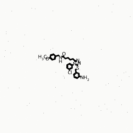 COc1ccc(CNC(=O)CCCCc2nnc(SCc3cccc(N)c3)n2-c2cccc(Cl)c2)cc1